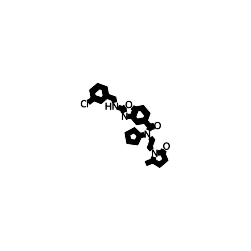 CC1CCC(=O)N1CCN(C(=O)c1ccc2oc(NCc3cccc(Cl)c3)nc2c1)C1CCCC1